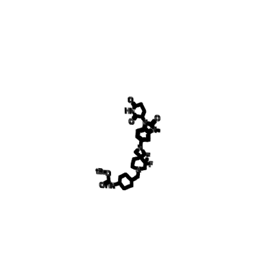 Cn1c(=O)n(C2CCC(=O)NC2=O)c2ccc(N3CC4(CCN(CC5CCC(NC(=O)OC(C)(C)C)CC5)CC4(F)F)C3)cc21